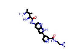 C/C(N)=C(\C)C(=N)C(=O)Nc1cnc2[nH]c(-c3ccnc(C(=O)NCCN(C)C)c3)cc2c1